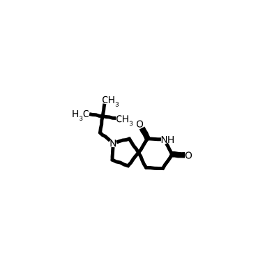 CC(C)(C)CN1CCC2(CCC(=O)NC2=O)C1